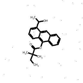 CCC(C)(C)C(=O)Oc1c2ccccc2cc2c(C(C)O)cccc12